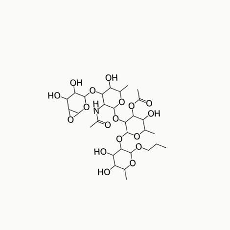 CCCOC1OC(C)C(O)C(O)C1OC1OC(C)C(O)C(OC(C)=O)C1OC1OC(C)C(O)C(OC2OC3OC3C(O)C2O)C1NC(C)=O